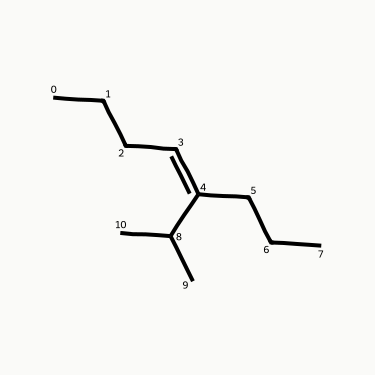 CCCC=C(CCC)C(C)C